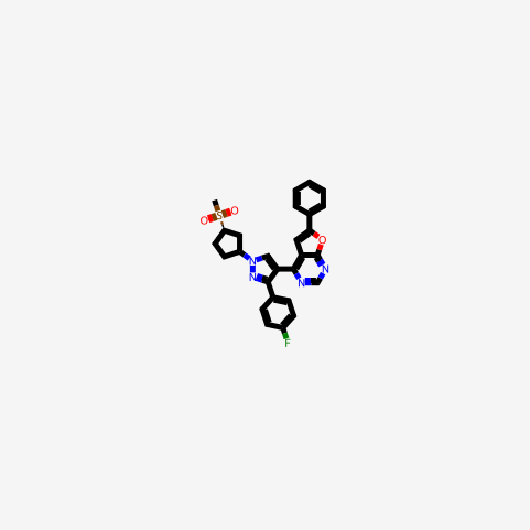 CS(=O)(=O)[C@H]1CCC(n2cc(-c3ncnc4oc(-c5ccccc5)cc34)c(-c3ccc(F)cc3)n2)C1